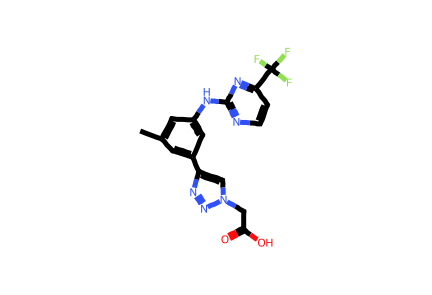 Cc1cc(Nc2nccc(C(F)(F)F)n2)cc(-c2cn(CC(=O)O)nn2)c1